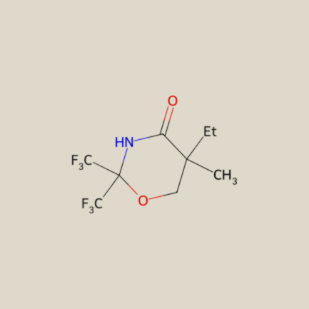 CCC1(C)COC(C(F)(F)F)(C(F)(F)F)NC1=O